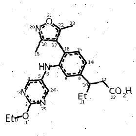 CCOc1ncc(Nc2cc(C(CC)CC(=O)O)ccc2-c2c(C)noc2C)cn1